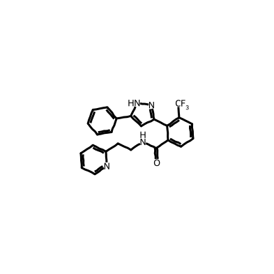 O=C(NCCc1ccccn1)c1cccc(C(F)(F)F)c1-c1cc(-c2ccccc2)[nH]n1